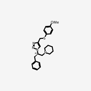 COc1ccc(SCc2cn([C@H](Cc3ccccc3)CN3CCCCC3)nn2)cc1